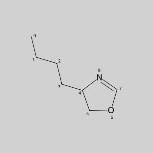 CCCCC1COC=N1